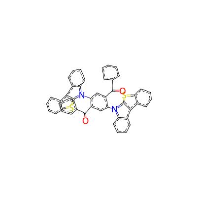 O=C(c1ccccc1)c1cc(-n2c3ccccc3c3c4ccccc4sc32)c(C(=O)c2ccccc2)cc1-n1c2ccccc2c2c3ccccc3sc21